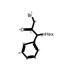 CCCCCCC(C(=O)CBr)c1ccccc1